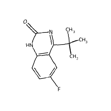 CC(C)(C)c1nc(=O)[nH]c2ccc(F)cc12